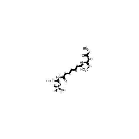 CC(C)(C)OC(=O)NC(=NC(=O)O)NCCCCCCC(=O)NC(O[Si](C)(C)C(C)(C)C)C(=O)O